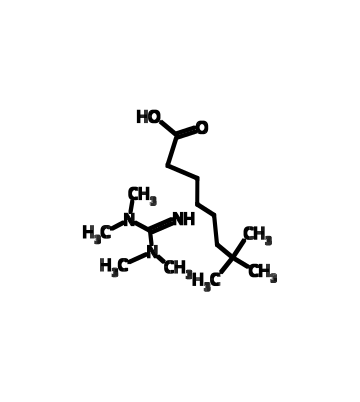 CC(C)(C)CCCCCC(=O)O.CN(C)C(=N)N(C)C